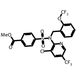 COC(=O)c1ccc(S(=O)(=O)N(Cc2ccccc2OC(F)(F)F)c2ncc(C(F)(F)F)cc2Cl)cc1